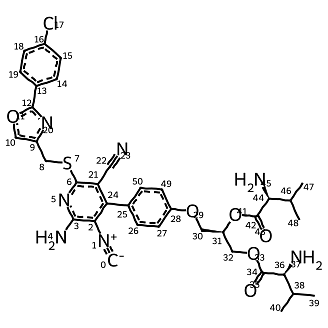 [C-]#[N+]c1c(N)nc(SCc2coc(-c3ccc(Cl)cc3)n2)c(C#N)c1-c1ccc(OC[C@H](COC(=O)[C@@H](N)C(C)C)OC(=O)[C@@H](N)C(C)C)cc1